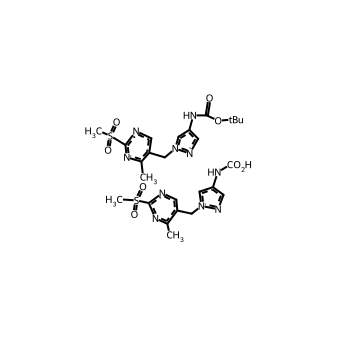 Cc1nc(S(C)(=O)=O)ncc1Cn1cc(NC(=O)O)cn1.Cc1nc(S(C)(=O)=O)ncc1Cn1cc(NC(=O)OC(C)(C)C)cn1